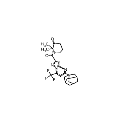 CC1(C)C(=O)CCCN1C(=O)c1cc2nc(C34CC5CC(CC(C5)C3)C4)cc(C(F)(F)F)n2n1